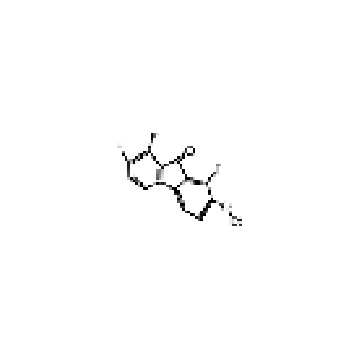 CCOc1ccc2c(c1F)C(=O)c1c-2ccc(F)c1F